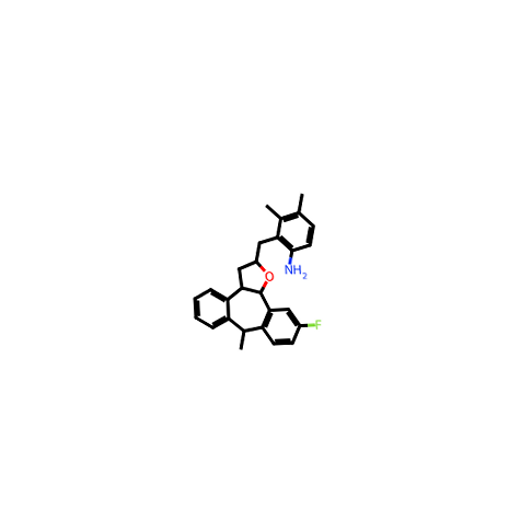 Cc1ccc(N)c(CC2CC3c4ccccc4C(C)c4ccc(F)cc4C3O2)c1C